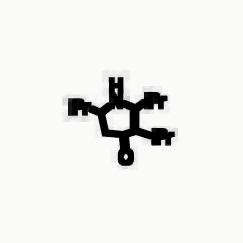 CC(C)C1=C(C(C)C)C(=O)CC(C(C)C)N1